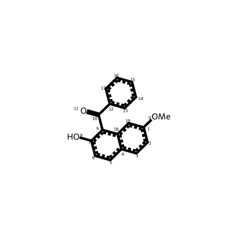 COc1ccc2ccc(O)c(C(=O)c3ccccc3)c2c1